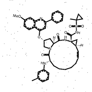 COc1ccc2c(O[C@@H]3C[C@H]4C(=O)N[C@]5(C(=O)NS(=O)(=O)C6(C)CC6)C[C@H]5/C=C\CCCCC[C@H](Nc5cccc(C)c5)C(=O)N4C3)cc(-c3ccccc3)nc2c1